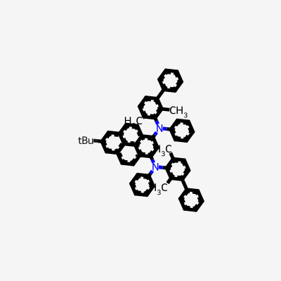 Cc1ccc(-c2ccccc2)c(C)c1N(c1ccccc1)c1cc(N(c2ccccc2)c2c(C)ccc(-c3ccccc3)c2C)c2ccc3cc(C(C)(C)C)cc4ccc1c2c43